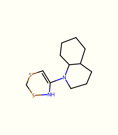 C1=C(N2CCCC3CCCCC32)NSCS1